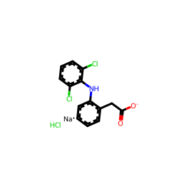 Cl.O=C([O-])Cc1ccccc1Nc1c(Cl)cccc1Cl.[Na+]